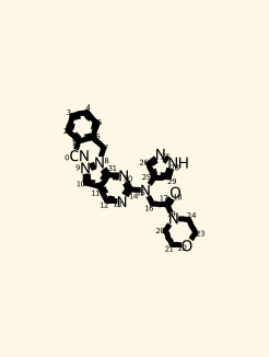 N#Cc1ccccc1Cn1ncc2cnc(N(CC(=O)N3CCOCC3)c3cn[nH]c3)nc21